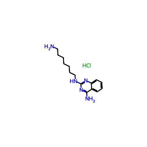 Cl.NCCCCCCCNc1nc(N)c2ccccc2n1